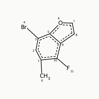 Cc1cc(Br)c2occc2c1F